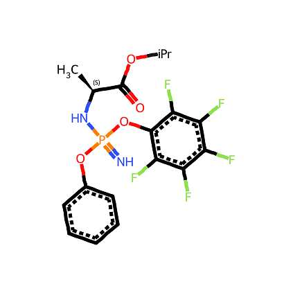 CC(C)OC(=O)[C@H](C)NP(=N)(Oc1ccccc1)Oc1c(F)c(F)c(F)c(F)c1F